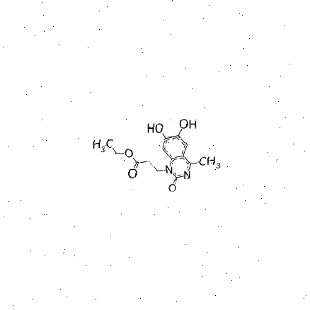 CCOC(=O)CCn1c(=O)nc(C)c2cc(O)c(O)cc21